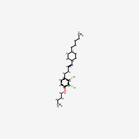 CCCCCC1CCC(/C=C/CCc2ccc(OCCCC)c(F)c2F)CC1